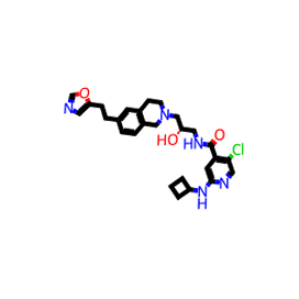 O=C(NC[C@H](O)CN1CCc2cc(CCc3cnco3)ccc2C1)c1cc(NC2CCC2)ncc1Cl